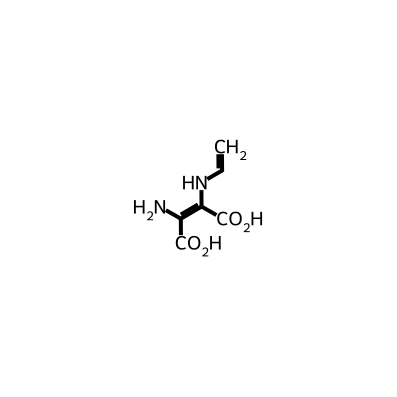 C=CN/C(C(=O)O)=C(\N)C(=O)O